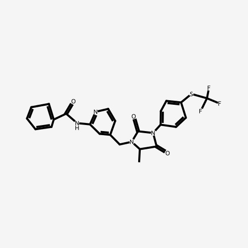 CC1C(=O)N(c2ccc(SC(F)(F)F)cc2)C(=O)N1Cc1ccnc(NC(=O)c2ccccc2)c1